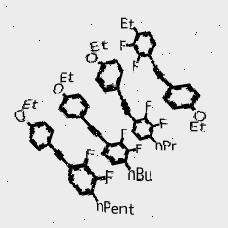 CCCCCc1ccc(C#Cc2ccc(OCC)cc2)c(F)c1F.CCCCc1ccc(C#Cc2ccc(OCC)cc2)c(F)c1F.CCCc1ccc(C#Cc2ccc(OCC)cc2)c(F)c1F.CCOc1ccc(C#Cc2ccc(CC)c(F)c2F)cc1